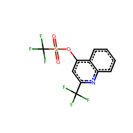 O=S(=O)(Oc1cc(C(F)(F)F)nc2ccccc12)C(F)(F)F